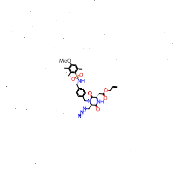 C=CCOC(=O)C[C@@H]1NC(=O)[C@@H](CN=[N+]=[N-])N(Cc2ccc(CNS(=O)(=O)c3c(C)cc(OC)c(C)c3C)cc2)C1=O